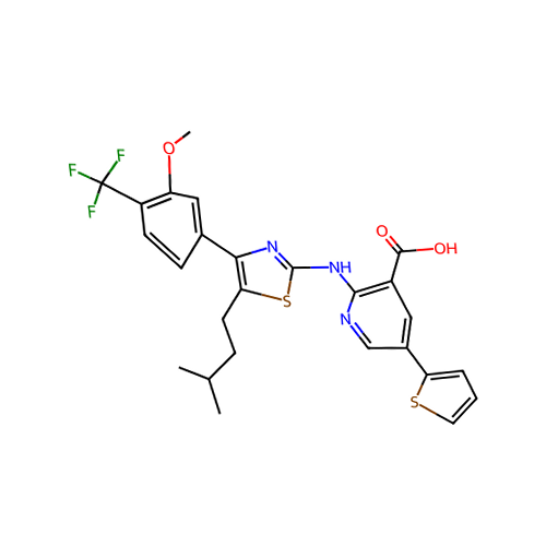 COc1cc(-c2nc(Nc3ncc(-c4cccs4)cc3C(=O)O)sc2CCC(C)C)ccc1C(F)(F)F